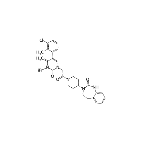 C=C1C(c2cccc(Cl)c2C)=CN(CC(=O)N2CCC(N3CCc4ccccc4NC3=O)CC2)C(=O)N1C(C)C